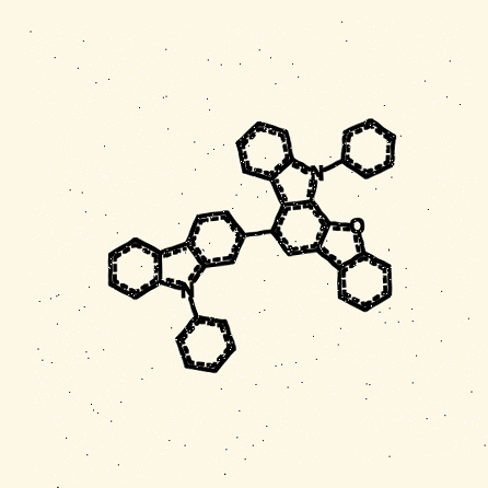 c1ccc(-n2c3ccccc3c3ccc(-c4cc5c6ccccc6oc5c5c4c4ccccc4n5-c4ccccc4)cc32)cc1